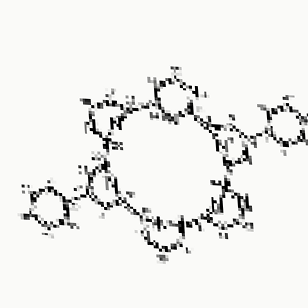 c1ccc(-c2cc3nc(c2)c2nccc(n2)c2ccnc(n2)c2cc(-c4ccccc4)cc(n2)c2nccc(n2)c2ccnc3n2)cc1